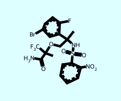 CC(COC(C)(C(N)=O)C(F)(F)F)(NS(=O)(=O)c1ccccc1[N+](=O)[O-])c1cc(Br)ccc1F